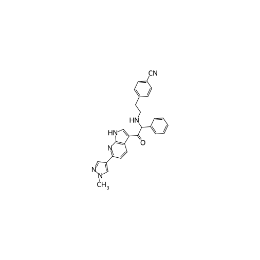 Cn1cc(-c2ccc3c(C(=O)C(NCCc4ccc(C#N)cc4)c4ccccc4)c[nH]c3n2)cn1